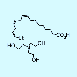 CC/C=C\C/C=C\C/C=C\CCCCCCCC(=O)O.OCCN(CCO)CCO